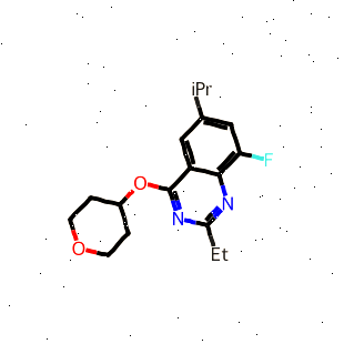 CCc1nc(OC2CCOCC2)c2cc(C(C)C)cc(F)c2n1